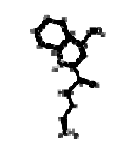 C=CCNC(=O)c1cc([N+](=O)[O-])c2ccccc2n1